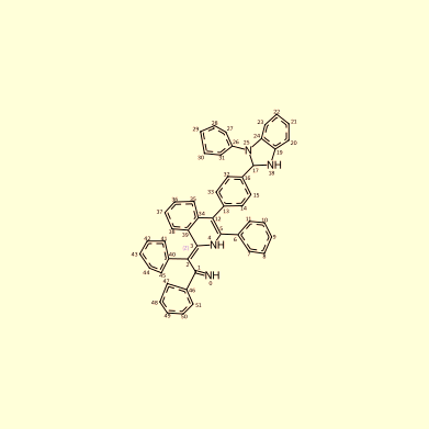 N=C(/C(=C1\NC(c2ccccc2)=C(c2ccc(C3Nc4ccccc4N3c3ccccc3)cc2)c2ccccc21)c1ccccc1)c1ccccc1